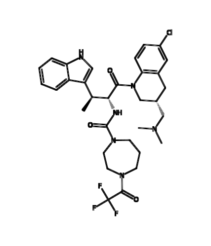 C[C@@H](c1c[nH]c2ccccc12)[C@@H](NC(=O)N1CCCN(C(=O)C(F)(F)F)CC1)C(=O)N1C[C@@H](CN(C)C)Cc2cc(Cl)ccc21